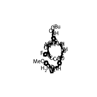 CC[C@@H](C)OCC(=O)NCc1cccc(C[C@@H]2NC(=O)CNC(=O)[C@H](C)NC(=O)CCC(=O)N(Cc3ccc(CCNC(=O)[C@]4(C)CCCN4C(=O)[C@@H](N)Cc4ccc(OC)cc4)cc3)CCCCCCn3cc(c4cc(F)ccc43)C[C@@H](C(=O)NC)NC2=O)c1